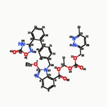 CCOc1nc2cccc(C(=O)OC(C)OC(=O)OCc3ccc(C)nn3)c2n1Cc1ccc(-c2ccccc2-c2noc(=O)[nH]2)cc1